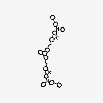 CC1(C)c2cc(/C=C/c3ccc4c5ccc(/C=C/c6ccc7c(c6)C(C)(C)c6cc(N(c8ccccc8)c8ccc(-c9ccccc9)cc8)ccc6-7)cc5c5ccccc5c4c3)ccc2-c2ccc(N(c3ccccc3)c3ccc(-c4ccccc4)cc3)cc21